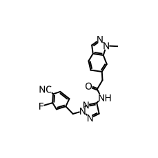 Cn1ncc2ccc(CC(=O)Nc3cnn(Cc4ccc(C#N)c(F)c4)n3)cc21